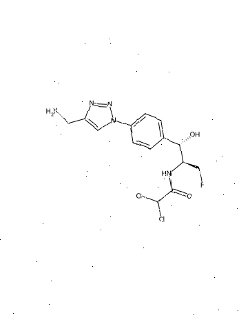 NCc1cn(-c2ccc([C@H](O)[C@@H](CF)NC(=O)C(Cl)Cl)cc2)nn1